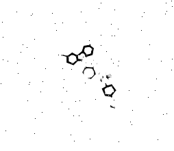 N[C@H]1[C@H](NS(=O)(=O)c2ccc(OC(F)(F)F)cc2)COC[C@@H]1n1c2ccc(Cl)cc2c2cc(Cl)ccc21